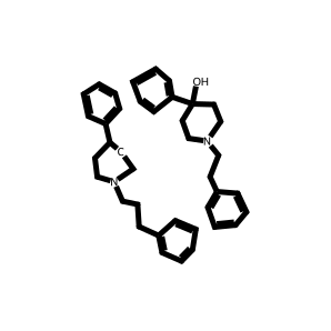 OC1(c2ccccc2)CCN(CCc2ccccc2)CC1.c1ccc(CCCN2CCC(c3ccccc3)CC2)cc1